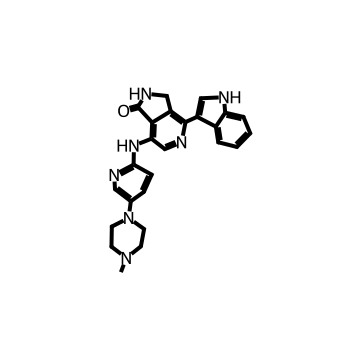 CN1CCN(c2ccc(Nc3cnc(-c4c[nH]c5ccccc45)c4c3C(=O)NC4)nc2)CC1